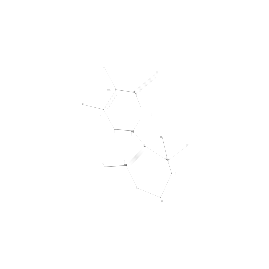 C=C1OC(C2=C(C)CCCC2(C)C)CC(C)=C1C